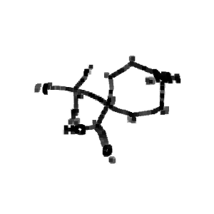 O=C(O)C1(C(F)(F)F)CCNCC1